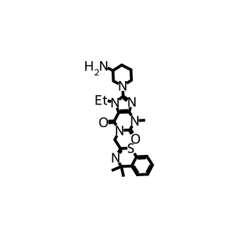 CCn1c(N2CCCC(N)C2)nc2c1c(=O)n(CC1=NC(C)(C)c3ccccc3S1)c(=O)n2C